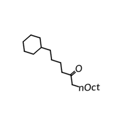 CCCCCCCCCC(=O)CCCCC1CCCCC1